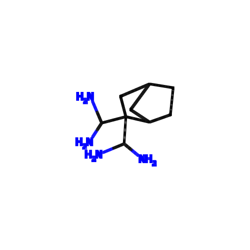 NC(N)C1(C(N)N)CC2CCC1C2